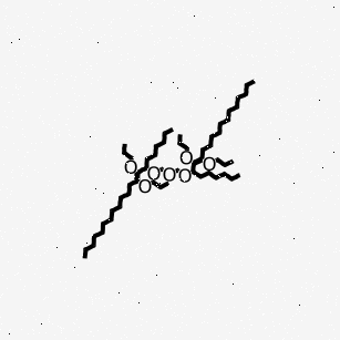 CCCCCCCCCCCCC(OCCC)=C(OCCC)C(CCCCCC)OCOCOC(CCCCCC)C(OCCC)=C(CCCCCCCCCCCC)OCCC